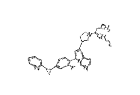 C=CC(=C)N1CCC(c2cc(-c3ccc(C4CC4c4ccccn4)cc3F)n3cnccc23)C1